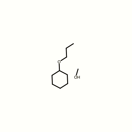 CCCOC1CCCCC1.CO